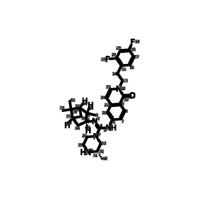 C[C@@H]1[C@@H](N=C(Nc2ccc3c(=O)n(CCc4ccc(F)cc4F)ccc3c2)N2CCN[C@@H](C)C2)C[C@H]2C[C@@H]1C2(C)C